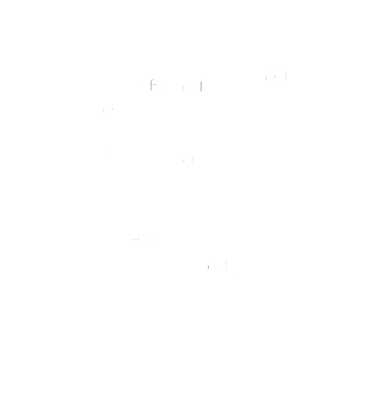 CC(O)COC(C)CO.CCCCOC1CC1